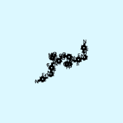 N#Cc1ccc(COc2cccc(-c3cc(F)c(Cc4nc5ccc(C(=O)OC(=O)c6ccc7nc(Cc8cc(F)c(-c9cccc(OCc%10ccc(C#N)cc%10F)n9)cc8F)n([C@@H]8CO[C@H]9COC[C@H]98)c7c6)cc5n4[C@@H]4CO[C@H]5COC[C@H]54)cc3F)n2)c(F)c1